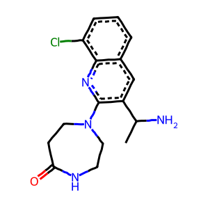 CC(N)c1cc2cccc(Cl)c2nc1N1CCNC(=O)CC1